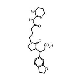 O=C(O)CC(c1ccc2c(c1)OCC2)N1CCN(CCCC(=O)NC2=NCCCN2)C1=O